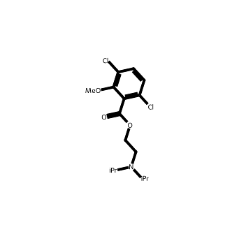 COc1c(Cl)ccc(Cl)c1C(=O)OCCN(C(C)C)C(C)C